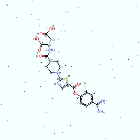 N=C(N)c1ccc(OC(=O)c2cnc(N3CCC(C(=O)N[C@@H](CC(=O)O)C(=O)O)CC3)s2)c(F)c1